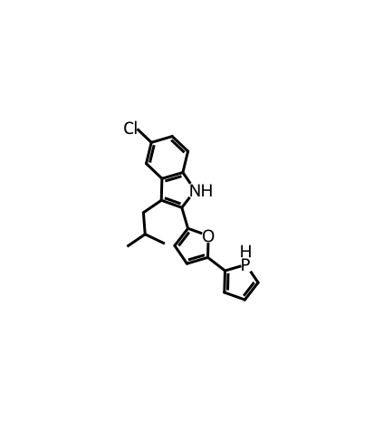 CC(C)Cc1c(-c2ccc(-c3ccc[pH]3)o2)[nH]c2ccc(Cl)cc12